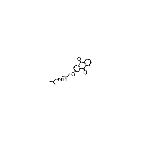 CC(C)CNCCCOc1ccc2c(c1)C(=O)c1ccccc1C2=O